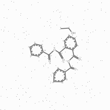 CCO.O=C(OC(=O)c1ccccc1C(=O)OC(=O)c1ccccc1)c1ccccc1